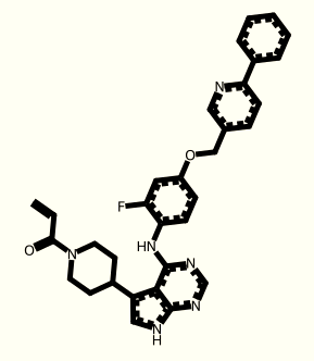 C=CC(=O)N1CCC(c2c[nH]c3ncnc(Nc4ccc(OCc5ccc(-c6ccccc6)nc5)cc4F)c23)CC1